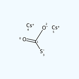 O=C([O-])[S-].[Cs+].[Cs+]